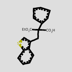 CCOC(=O)C(Cc1csc2ccccc12)(C(=O)O)c1ccccc1